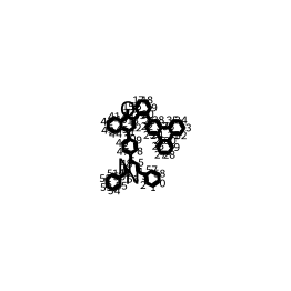 c1ccc(-c2cc(-c3ccc(-c4cc5c(oc6cccc(-c7ccc8c9ccccc9c9ccccc9c8c7)c65)c5ccccc45)cc3)nc(-c3ccccc3)n2)cc1